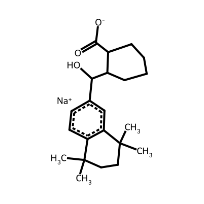 CC1(C)CCC(C)(C)c2cc(C(O)C3CCCCC3C(=O)[O-])ccc21.[Na+]